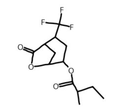 CCC(C)C(=O)OC1CC(C(F)(F)F)C2CC1OC2=O